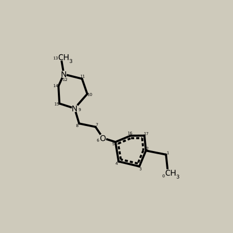 CCc1ccc(OCCN2CCN(C)CC2)cc1